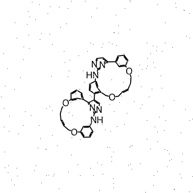 C1=C\COc2cccc(c2)Nc2ncc(-c3ccc4cc3COC/C=C/CCOc3cccc(c3)-c3ccnc(n3)N4)c(n2)-c2cccc(c2)OCC/1